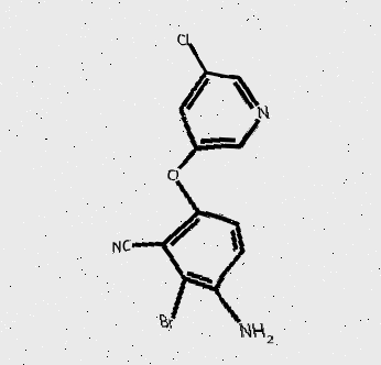 N#Cc1c(Oc2cncc(Cl)c2)ccc(N)c1Br